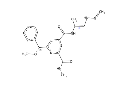 C=NN/C=C(\C)NC(=O)c1cc(C(=O)NC)nc([C@H](OC)c2ccccc2)c1